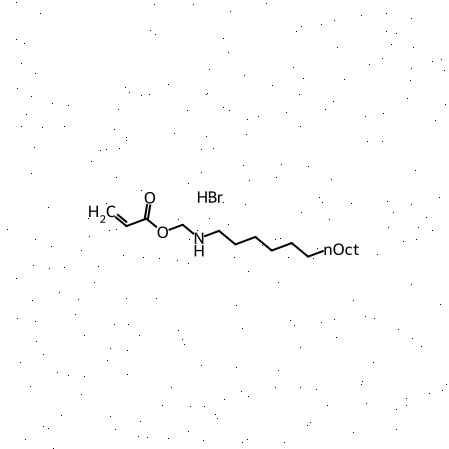 Br.C=CC(=O)OCNCCCCCCCCCCCCCC